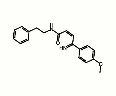 COc1ccc(C(=N)/C=C\C(=O)NCCc2ccccc2)cc1